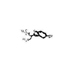 C=C=C(CN)c1cc2cc(Br)ccc2s1